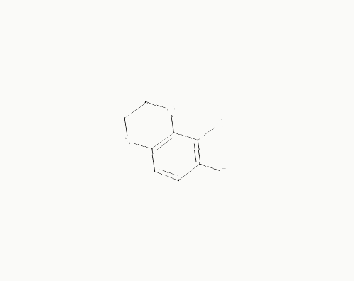 Fc1ccc2c(c1Cl)OCCN2